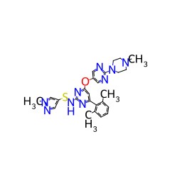 Cc1cccc(C)c1-c1cc(Oc2cnc(N3CCN(C)CC3)nc2)nc(NSc2cnn(C)c2)n1